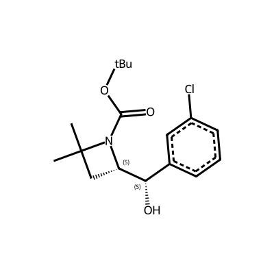 CC(C)(C)OC(=O)N1[C@H]([C@@H](O)c2cccc(Cl)c2)CC1(C)C